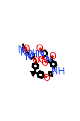 Cc1nnc(-c2ncc(Oc3ccc(C4(c5ccc(O[C@H]6C[C@H](Nc7ccc8c(c7)C(=O)N(C7CCC(=O)NC7=O)C8=O)C6)cc5)CC4)cc3)cn2)o1